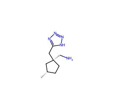 C[C@H]1CC[C@](CN)(Cc2nnn[nH]2)C1